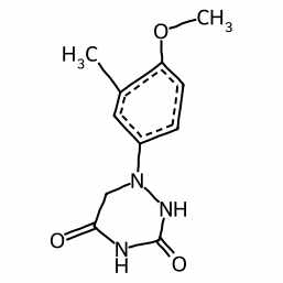 COc1ccc(N2CC(=O)NC(=O)N2)cc1C